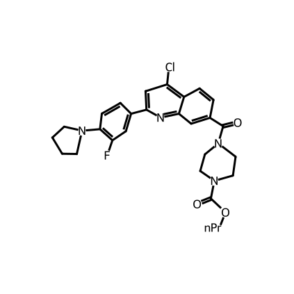 CCCOC(=O)N1CCN(C(=O)c2ccc3c(Cl)cc(-c4ccc(N5CCCC5)c(F)c4)nc3c2)CC1